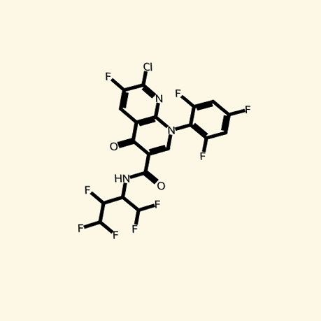 O=C(NC(C(F)F)C(F)C(F)F)c1cn(-c2c(F)cc(F)cc2F)c2nc(Cl)c(F)cc2c1=O